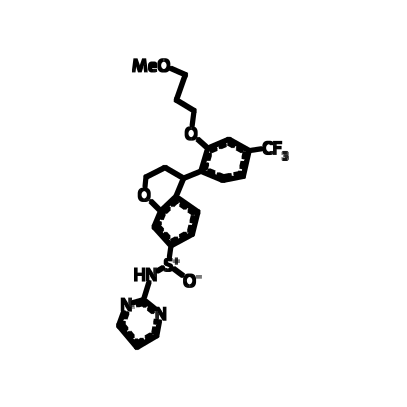 COCCCOc1cc(C(F)(F)F)ccc1C1CCOc2cc([S+]([O-])Nc3ncccn3)ccc21